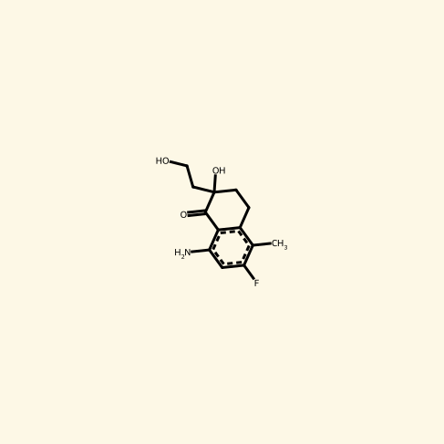 Cc1c(F)cc(N)c2c1CCC(O)(CCO)C2=O